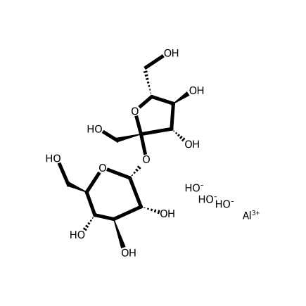 OC[C@H]1O[C@@](CO)(O[C@H]2O[C@H](CO)[C@@H](O)[C@H](O)[C@H]2O)[C@@H](O)[C@@H]1O.[Al+3].[OH-].[OH-].[OH-]